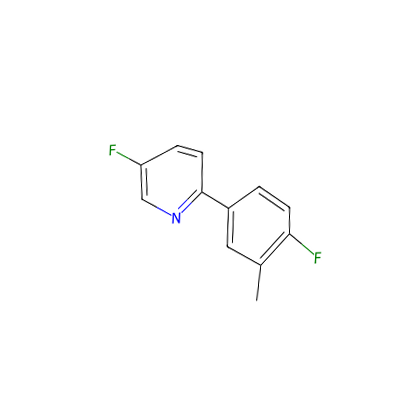 Cc1cc(-c2ccc(F)cn2)ccc1F